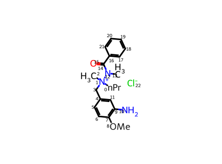 CCC[N+](C)(Cc1ccc(OC)c(N)c1)N(C)C(=O)c1ccccc1.[Cl-]